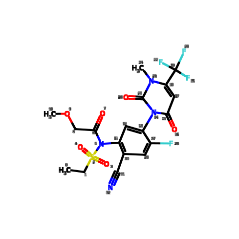 CCS(=O)(=O)N(C(=O)COC)c1cc(-n2c(=O)cc(C(F)(F)F)n(C)c2=O)c(F)cc1C#N